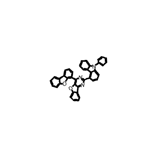 c1ccc(-n2c3ccccc3c3c(-c4nc(-c5cccc6c5oc5ccccc56)c5oc6ccccc6c5n4)cccc32)cc1